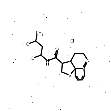 CC(C)CC(C)NC(=O)C1CSC23C=CC=CC2=NCCC13.Cl